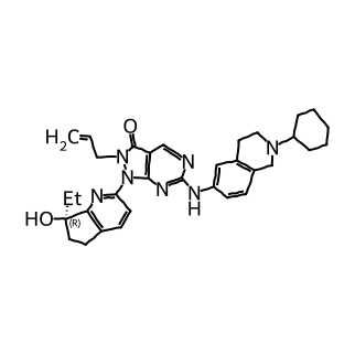 C=CCn1c(=O)c2cnc(Nc3ccc4c(c3)CCN(C3CCCCC3)C4)nc2n1-c1ccc2c(n1)[C@@](O)(CC)CC2